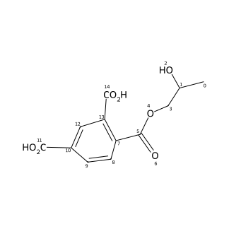 CC(O)COC(=O)c1ccc(C(=O)O)cc1C(=O)O